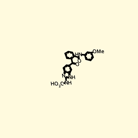 COc1cccc(NC(=O)c2ccccc2C(=O)c2ccc3nc(NC(=O)O)[nH]c3c2)c1